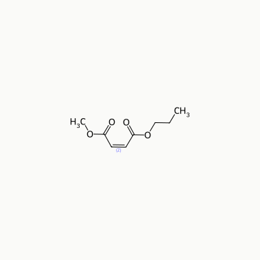 CCCOC(=O)/C=C\C(=O)OC